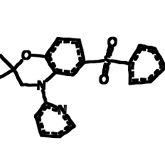 CC1(C)CN(c2ccccn2)c2cc(S(=O)(=O)c3ccccc3)ccc2O1